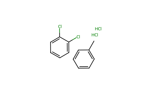 Cc1ccccc1.Cl.Cl.Clc1ccccc1Cl